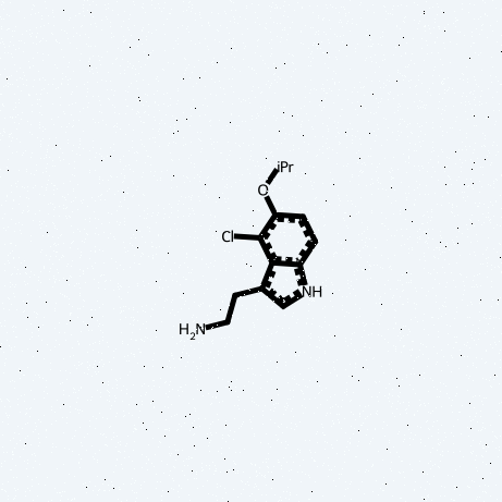 CC(C)Oc1ccc2[nH]cc(CCN)c2c1Cl